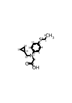 CCSc1ccc(N(CC(=O)O)CC2CC2)cc1